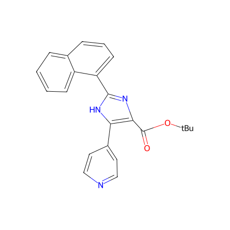 CC(C)(C)OC(=O)c1nc(-c2cccc3ccccc23)[nH]c1-c1ccncc1